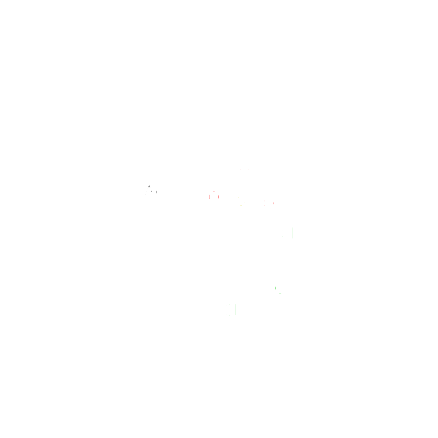 CC(=O)c1ccccc1OS(=O)(=O)c1ccc(Cl)c(Cl)c1Cl